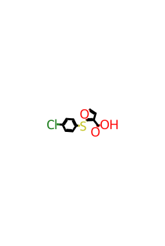 O=C(O)c1ccoc1Sc1ccc(Cl)cc1